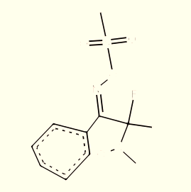 C[S+]([O-])C(F)(F)C(=NOS(C)(=O)=O)c1ccccc1